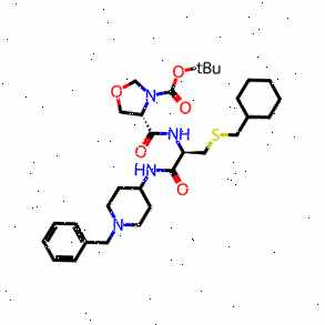 CC(C)(C)OC(=O)N1COC[C@H]1C(=O)N[C@@H](CSCC1CCCCC1)C(=O)NC1CCN(Cc2ccccc2)CC1